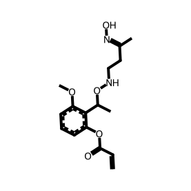 C=CC(=O)Oc1cccc(OC)c1C(C)ONCCC(C)=NO